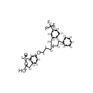 CS(=O)(=O)c1cc(OCCCN(CCc2ccccc2)Cc2cccc(C(F)(F)F)c2)ccc1CCO